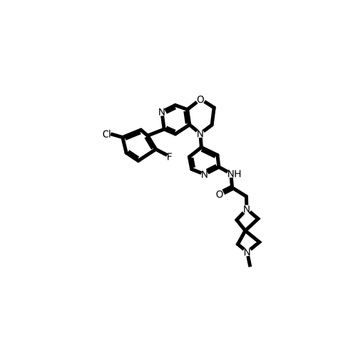 CN1CC2(C1)CN(CC(=O)Nc1cc(N3CCOc4cnc(-c5cc(Cl)ccc5F)cc43)ccn1)C2